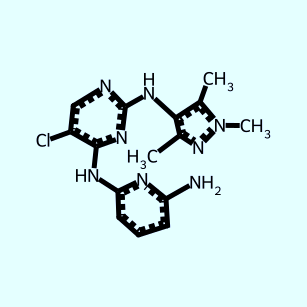 Cc1nn(C)c(C)c1Nc1ncc(Cl)c(Nc2cccc(N)n2)n1